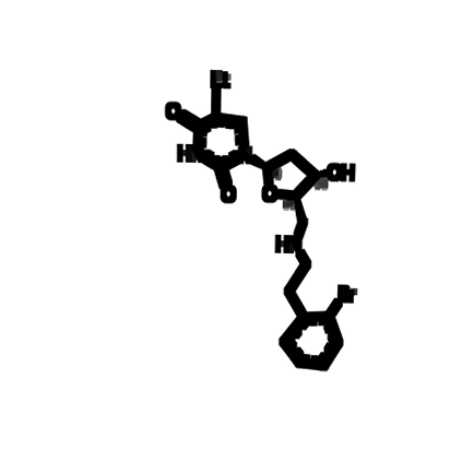 CCc1cn([C@H]2C[C@H](O)[C@@H](CNCCc3ccccc3Br)O2)c(=O)[nH]c1=O